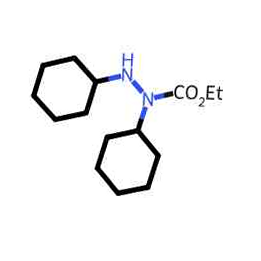 CCOC(=O)N(NC1CCCCC1)C1CCCCC1